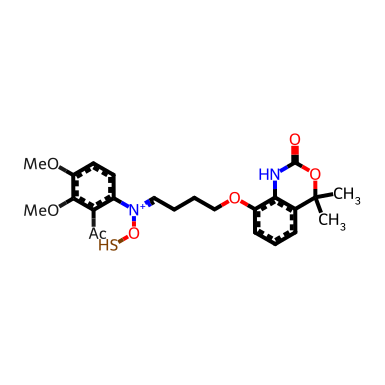 COc1ccc([N+](=CCCCOc2cccc3c2NC(=O)OC3(C)C)OS)c(C(C)=O)c1OC